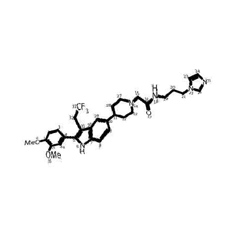 COc1ccc(-c2[nH]c3ccc(C4CCN(CC(=O)NCCCn5ccnc5)CC4)cc3c2CC(F)(F)F)cc1OC